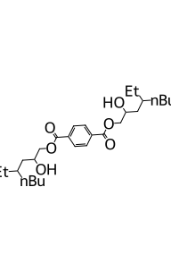 CCCCC(CC)CC(O)COC(=O)c1ccc(C(=O)OCC(O)CC(CC)CCCC)cc1